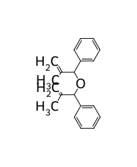 C=C(C)C(OC(C(=C)C)c1ccccc1)c1ccccc1